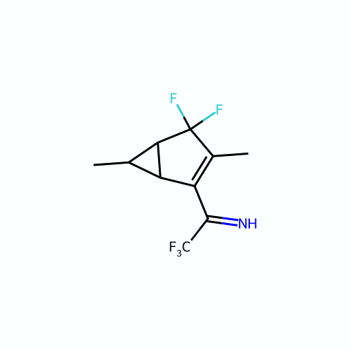 CC1=C(C(=N)C(F)(F)F)C2C(C)C2C1(F)F